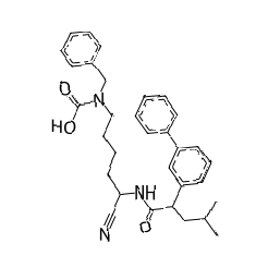 CC(C)CC(C(=O)NC(C#N)CCCCN(Cc1ccccc1)C(=O)O)c1cccc(-c2ccccc2)c1